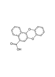 O=C(O)c1cc2c(c3ccccc13)Oc1ccccc1O2